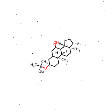 CC(=O)[C@H]1CC[C@H]2[C@@H]3C(O)CC4CC(O[Si](C)(C)C(C)(C)C)CC[C@]4(C)[C@H]3CC[C@]12C